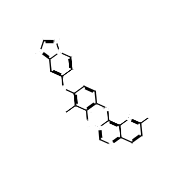 Cc1c(Oc2ccn3ncnc3c2)ccc(Nc2ncnc3ccc(Cl)nc23)c1F